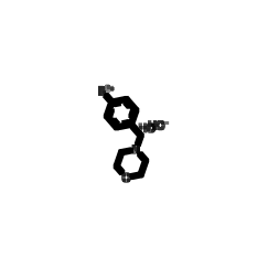 [B+2]c1ccc(CN2CCOCC2)cc1.[OH-].[OH-]